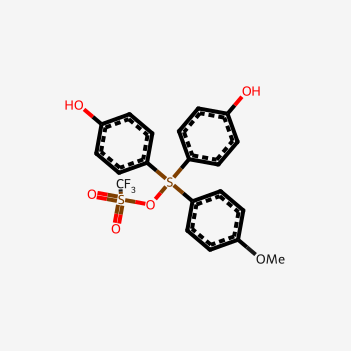 COc1ccc(S(OS(=O)(=O)C(F)(F)F)(c2ccc(O)cc2)c2ccc(O)cc2)cc1